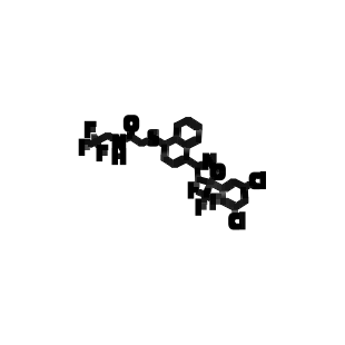 O=C(CSc1ccc(C2=NO[C@@](c3cc(Cl)cc(Cl)c3)(C(F)(F)F)C2)c2ccccc12)NCC(F)(F)F